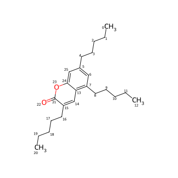 CCCCCc1cc(CCCCC)c2cc(CCCCC)c(=O)oc2c1